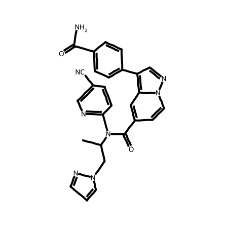 CC(Cn1cccn1)N(C(=O)c1ccn2ncc(-c3ccc(C(N)=O)cc3)c2c1)c1ccc(C#N)cn1